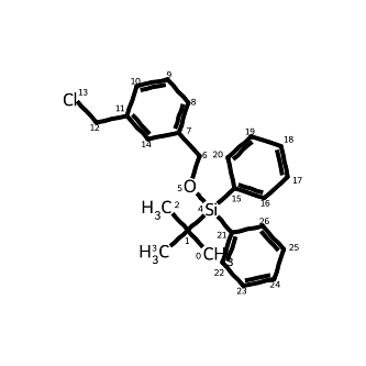 CC(C)(C)[Si](OCc1cccc(CCl)c1)(c1ccccc1)c1ccccc1